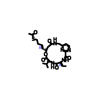 C/C=C1\NC(=O)c2nccc(n2)CNC(=O)C[C@@H](/C=C/CCSC(C)=O)OC(=O)[C@H](C(C)C)NC1=O